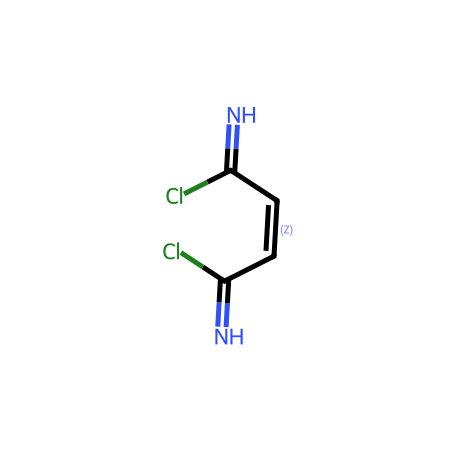 N=C(Cl)/C=C\C(=N)Cl